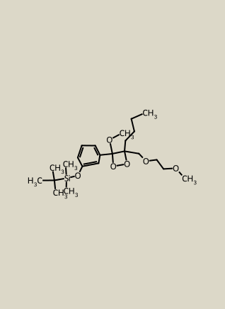 CCCCC1(COCCOC)OOC1(OC)c1cccc(O[Si](C)(C)C(C)(C)C)c1